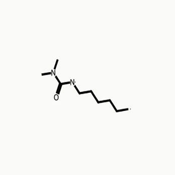 [CH2]CCCCC[N]C(=O)N(C)C